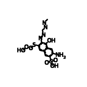 CN=NCN=Nc1c(SOOO)cc2cc(S(=O)(=O)O)c(N)cc2c1O